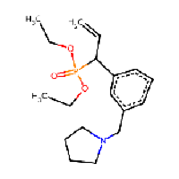 C=CC(c1cccc(CN2CCCC2)c1)P(=O)(OCC)OCC